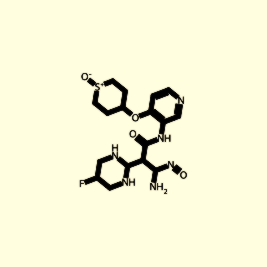 NC(N=O)C(C(=O)Nc1cnccc1OC1CC[S+]([O-])CC1)C1NCC(F)CN1